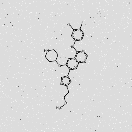 COCCn1cc(-c2cc3ncnc(Nc4ccc(F)c(Cl)c4)c3cc2OC2CCNCC2)cn1